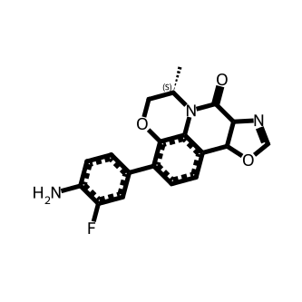 C[C@H]1COc2c(-c3ccc(N)c(F)c3)ccc3c2N1C(=O)C1N=COC31